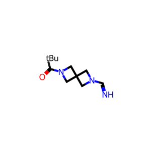 CC(C)(C)C(=O)N1CC2(CN(C=N)C2)C1